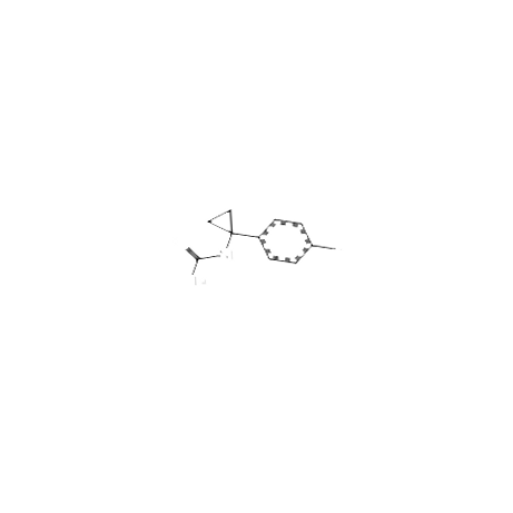 CC(C)(C)C(=O)NC1(c2ccc(Br)cc2)CC1